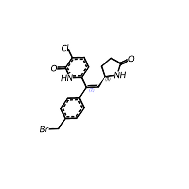 O=C1CC[C@H](/C=C(/c2ccc(CBr)cc2)c2ccc(Cl)c(=O)[nH]2)N1